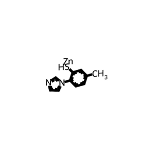 Cc1ccc(-n2ccnc2)c(S)c1.[Zn]